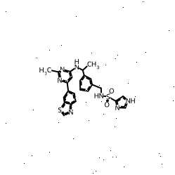 Cc1nc(NC(C)c2cccc(CNS(=O)(=O)c3c[nH]cn3)c2)cc(-c2ccc3ncsc3c2)n1